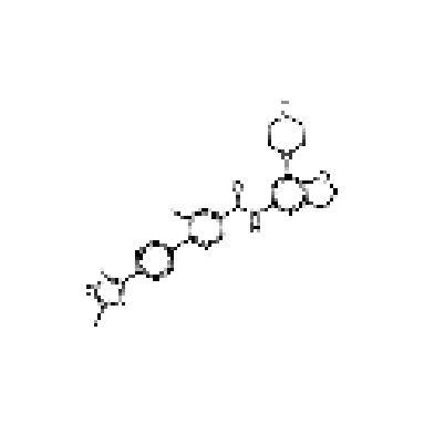 Cc1nc(-c2ccc(-c3ccc(C(=O)Nc4cc5c(c(N6CCNCC6)c4)OCC5)cc3C)cc2)no1